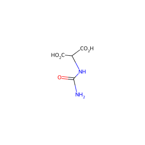 NC(=O)NC(C(=O)O)C(=O)O